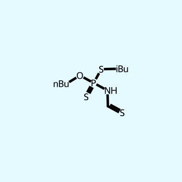 CCCCOP(=S)(NC=S)SC(C)CC